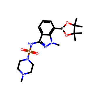 CN1CCN(S(=O)(=O)Nc2nn(C)c3c(B4OC(C)(C)C(C)(C)O4)cccc23)CC1